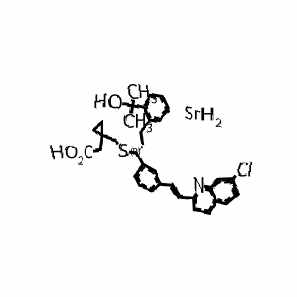 CC(C)(O)c1ccccc1CC[C@@H](SCC1(CC(=O)O)CC1)c1cccc(C=Cc2ccc3ccc(Cl)cc3n2)c1.[SrH2]